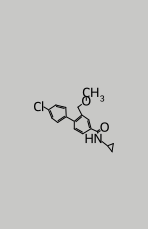 COCc1cc(C(=O)NC2CC2)ccc1-c1ccc(Cl)cc1